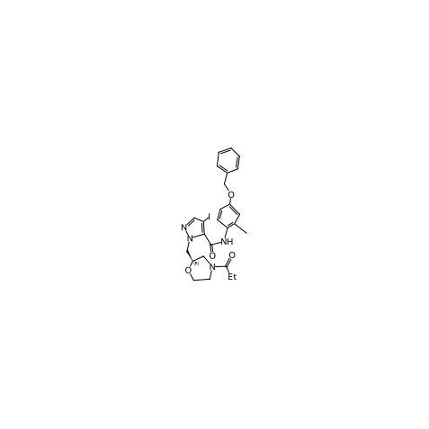 CCC(=O)N1CCO[C@@H](Cn2ncc(I)c2C(=O)Nc2ccc(OCc3ccccc3)cc2C)C1